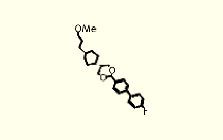 COCCC[C@H]1CC[C@H](C2COC(c3ccc(-c4ccc(F)cc4)cc3)OC2)CC1